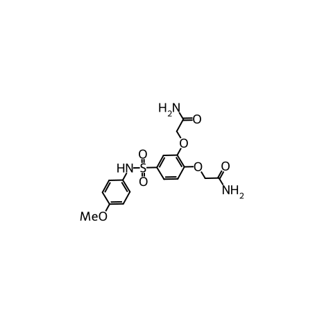 COc1ccc(NS(=O)(=O)c2ccc(OCC(N)=O)c(OCC(N)=O)c2)cc1